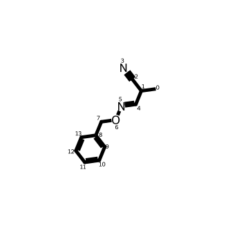 CC(C#N)C=NOCc1ccccc1